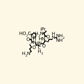 CC(C)C[C@@H](N)C(=O)N[C@@H](CCCNC(=N)N)C(=O)N[C@@H](C)C(=O)N[C@H](CCCCN)C(=O)N1CCC[C@@H]1C(=O)O